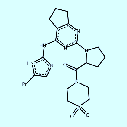 CC(C)c1cnc(Nc2nc(N3CCCC3C(=O)N3CCS(=O)(=O)CC3)nc3c2CCC3)[nH]1